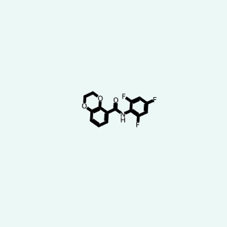 O=C(Nc1c(F)cc(F)cc1F)c1cccc2c1OCCO2